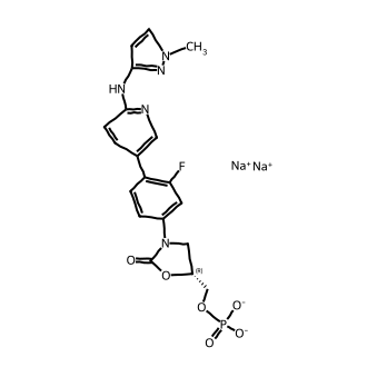 Cn1ccc(Nc2ccc(-c3ccc(N4C[C@H](COP(=O)([O-])[O-])OC4=O)cc3F)cn2)n1.[Na+].[Na+]